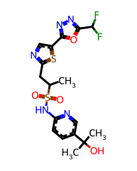 CC(Cc1ncc(-c2nnc(C(F)F)o2)s1)S(=O)(=O)Nc1ccc(C(C)(C)O)cn1